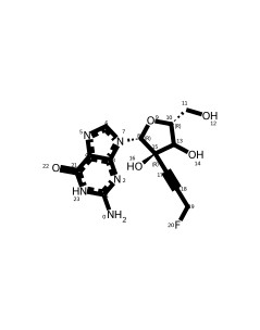 Nc1nc2c(ncn2[C@@H]2O[C@H](CO)C(O)[C@]2(O)C#CCF)c(=O)[nH]1